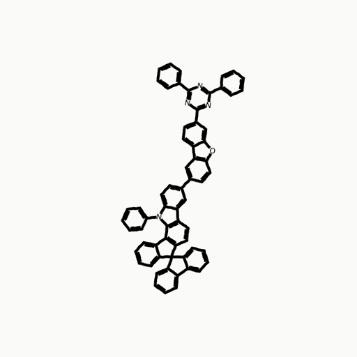 c1ccc(-c2nc(-c3ccccc3)nc(-c3ccc4c(c3)oc3ccc(-c5ccc6c(c5)c5ccc7c(c5n6-c5ccccc5)-c5ccccc5C75c6ccccc6-c6ccccc65)cc34)n2)cc1